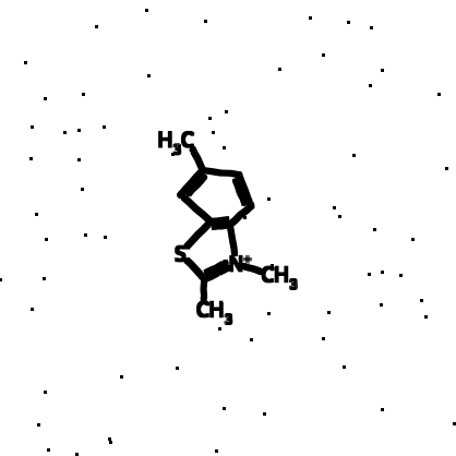 Cc1ccc2c(c1)sc(C)[n+]2C